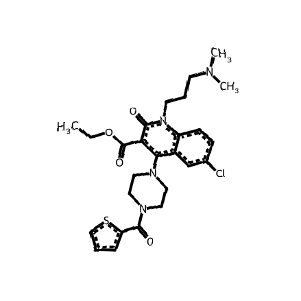 CCOC(=O)c1c(N2CCN(C(=O)c3cccs3)CC2)c2cc(Cl)ccc2n(CCCN(C)C)c1=O